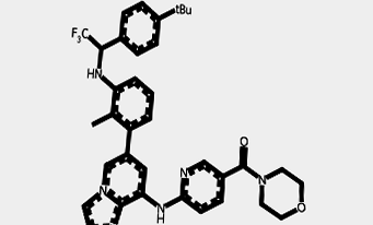 Cc1c(NC(c2ccc(C(C)(C)C)cc2)C(F)(F)F)cccc1-c1cc(Nc2ccc(C(=O)N3CCOCC3)cn2)c2nccn2c1